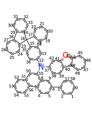 c1ccc(-c2ccc3c(c2)c(N(c2ccc(C4(c5ccccc5)c5ccccc5-c5ccccc54)cc2)c2ccc4c(c2)oc2ccccc24)cc2ccccc23)cc1